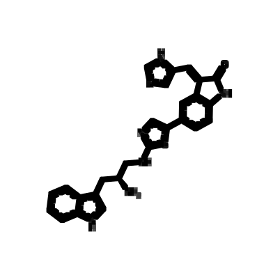 N[C@H](CNc1ncc(-c2ccc3c(c2)/C(=C\c2cnc[nH]2)C(=O)N3)s1)Cc1c[nH]c2ccccc12